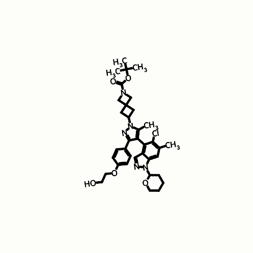 Cc1cc2c(cnn2C2CCCCO2)c(-c2c(-c3ccc(OCCO)cc3)nn(C3CC4(C3)CN(C(=O)OC(C)(C)C)C4)c2C)c1Cl